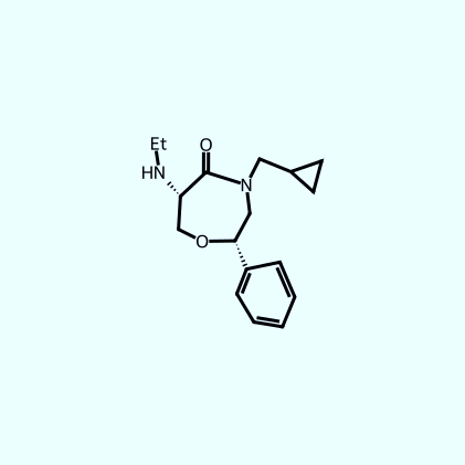 CCN[C@H]1CO[C@@H](c2ccccc2)CN(CC2CC2)C1=O